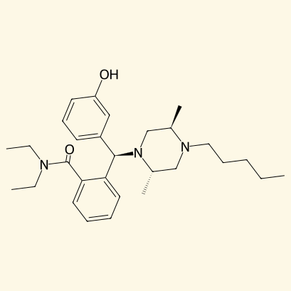 CCCCCN1C[C@H](C)N([C@H](c2cccc(O)c2)c2ccccc2C(=O)N(CC)CC)C[C@H]1C